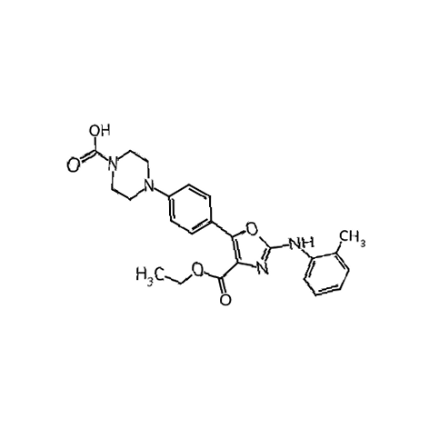 CCOC(=O)c1nc(Nc2ccccc2C)oc1-c1ccc(N2CCN(C(=O)O)CC2)cc1